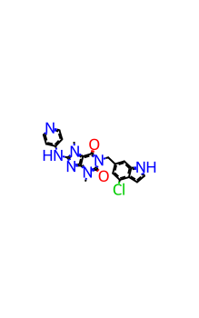 Cn1c(Nc2ccncc2)nc2c1c(=O)n(Cc1cc(Cl)c3cc[nH]c3c1)c(=O)n2C